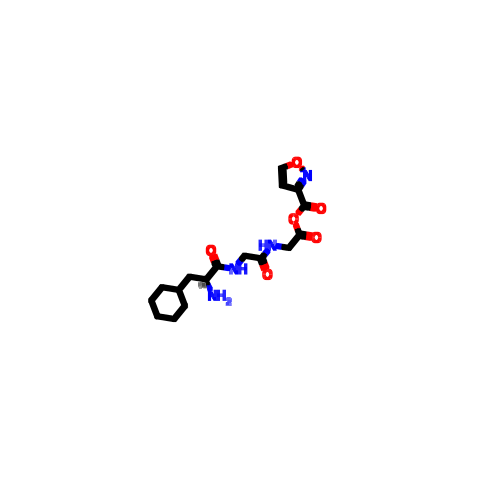 N[C@@H](CC1CCCCC1)C(=O)NCC(=O)NCC(=O)OC(=O)c1ccon1